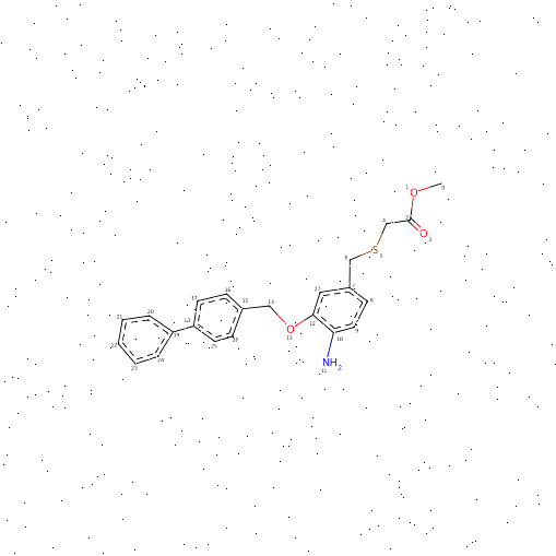 COC(=O)CSCc1ccc(N)c(OCc2ccc(-c3ccccc3)cc2)c1